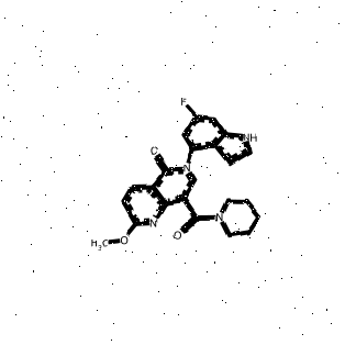 COc1ccc2c(=O)n(-c3cc(F)cc4[nH]ccc34)cc(C(=O)N3CCCCC3)c2n1